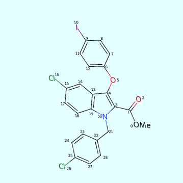 COC(=O)c1c(Oc2ccc(I)cc2)c2cc(Cl)ccc2n1Cc1ccc(Cl)cc1